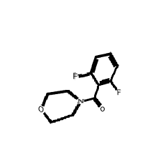 O=C(c1c(F)c[c]cc1F)N1CCOCC1